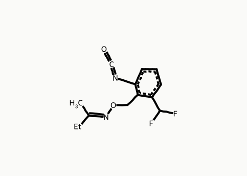 CCC(C)=NOCc1c(N=C=O)cccc1C(F)F